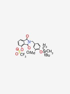 COc1cc(CN2C(=O)c3cccc(OS(=O)(=O)C(F)(F)F)c3C2=O)ccc1O[Si](C)(C)C(C)(C)C